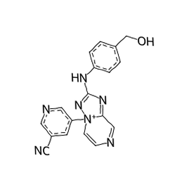 N#Cc1cncc([N+]23C=CN=CC2=NC(Nc2ccc(CO)cc2)=N3)c1